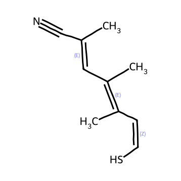 C\C(C#N)=C/C(C)=C(C)/C=C\S